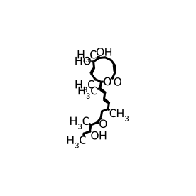 CCC(O)C(C)C1OC1CC(C)/C=C/C=C(\C)C1OC(=O)/C=C\CCC(C)(O)C(O)/C=C/C1C